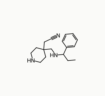 CCC(NCC1(CC#N)CCNCC1)c1ccccc1